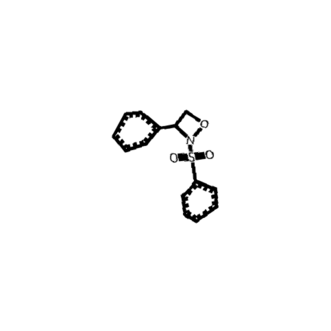 O=S(=O)(c1ccccc1)N1OCC1c1ccccc1